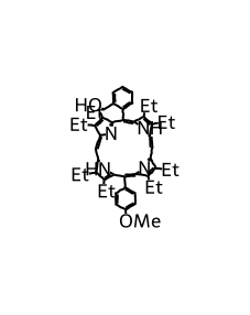 CCC1=C(CC)/C2=C/C3NC(=C(CC)C3CC)/C(c3ccc(OC)cc3)=C3N=C(/C=c4\[nH]/c(c(CC)c4CC)=C(/c4ccccc4CO)C1=N2)C(CC)=C\3CC